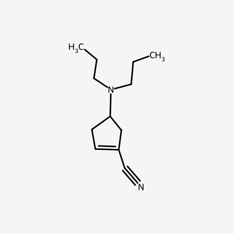 CCCN(CCC)C1CC=C(C#N)C1